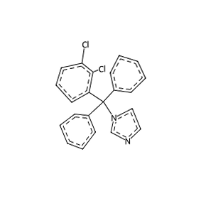 Clc1cccc(C(c2ccccc2)(c2ccccc2)n2ccnc2)c1Cl